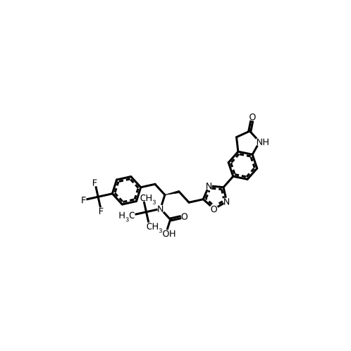 CC(C)(C)N(C(=O)O)[C@H](CCc1nc(-c2ccc3c(c2)CC(=O)N3)no1)Cc1ccc(C(F)(F)F)cc1